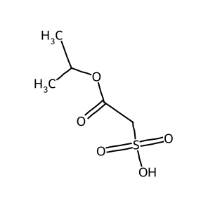 CC(C)OC(=O)CS(=O)(=O)O